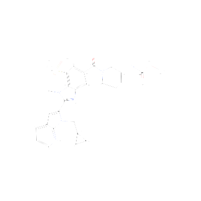 Cn1c(-c2cc3cccnc3n2CC2CC2)nc2cc(C(=O)N3CCC[C@@H](NC(=O)OC(C)(C)C)C3)cc(S(C)(=O)=O)c21